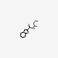 CC(CO)NC(=O)c1cc2ccccc2s1